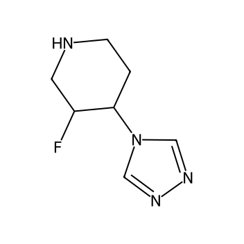 FC1CNCCC1n1cnnc1